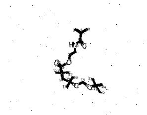 CC(C)C(=O)NCCOC(=O)C(C)(C)CC(C)(C)OCOC(C)(C)C